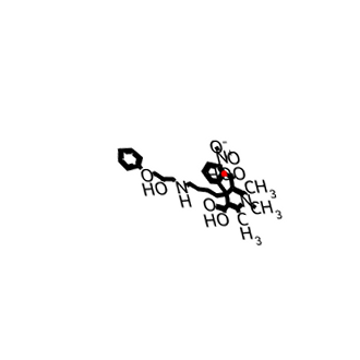 CC1=C(C(=O)O)C(CCCCNCC(O)COc2ccccc2)(c2cccc([N+](=O)[O-])c2)C(C(=O)O)=C(C)N1C